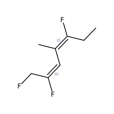 CC/C(F)=C(C)\C=C(\F)CF